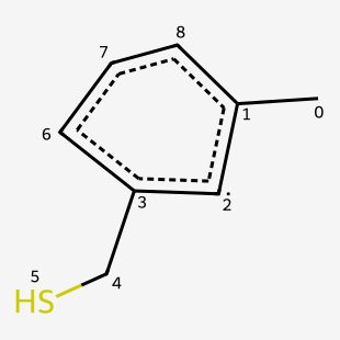 Cc1[c]c(CS)ccc1